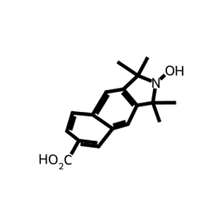 CC1(C)c2cc3ccc(C(=O)O)cc3cc2C(C)(C)N1O